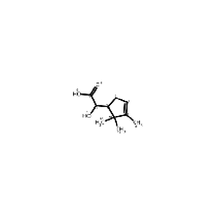 CC1=CCC(C(O)C(=O)O)C1(C)C